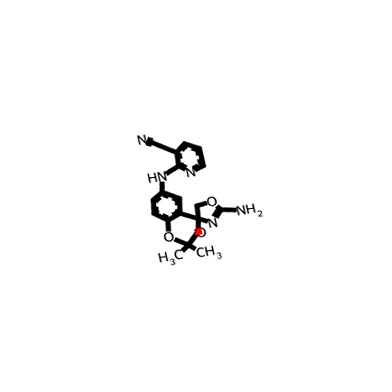 CC1(C)Oc2ccc(Nc3ncccc3C#N)cc2C2(COC(N)=N2)C12COC2